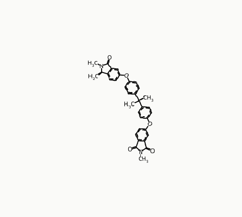 C=C1c2ccc(Oc3ccc(C(C)(C)c4ccc(Oc5ccc6c(c5)C(=O)N(C)C6=O)cc4)cc3)cc2C(=O)N1C